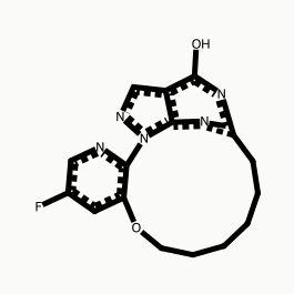 Oc1nc2nc3c1cnn3-c1ncc(F)cc1OCCCCCC2